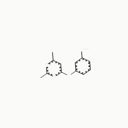 COc1cccc(Oc2cc(C)nc(Cl)n2)c1